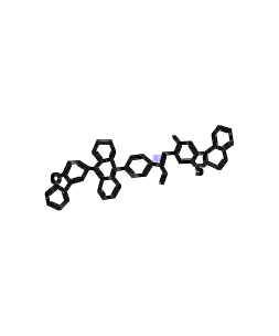 C=C/C(=C\c1cc2sc3ccc4ccccc4c3c2cc1C)c1ccc(-c2c3ccccc3c(-c3ccc4oc5ccccc5c4c3)c3ccccc23)cc1